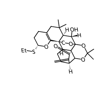 C=C1C(=O)[C@@]23C4OC(C)(C)OC25OC[C@]2(C6=C(CC[C@@H](SCC)O6)CC(C)(C)[C@H]2[C@@H]5O)[C@@H]3CC[C@@H]14